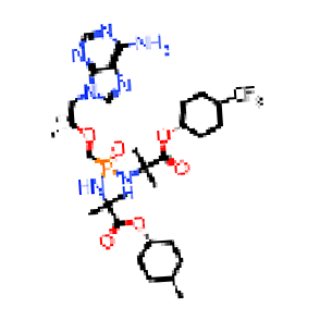 C[C@H](Cn1cnc2c(N)ncnc21)OCP(=O)(NC(C)(C)C(=O)O[C@H]1CC[C@H](C)CC1)NC(C)(C)C(=O)O[C@H]1CC[C@H](C(F)(F)F)CC1